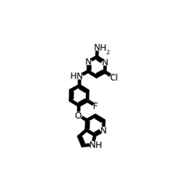 Nc1nc(Cl)cc(Nc2ccc(Oc3ccnc4[nH]ccc34)c(F)c2)n1